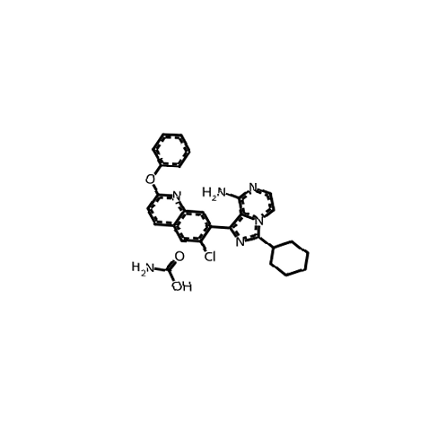 NC(=O)O.Nc1nccn2c(C3CCCCC3)nc(-c3cc4nc(Oc5ccccc5)ccc4cc3Cl)c12